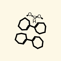 C1=C(C2=CCCCCC2)CCCCC1.C1=C(C2=CCCCCC2)CCCCC1.CO[SiH2]OC